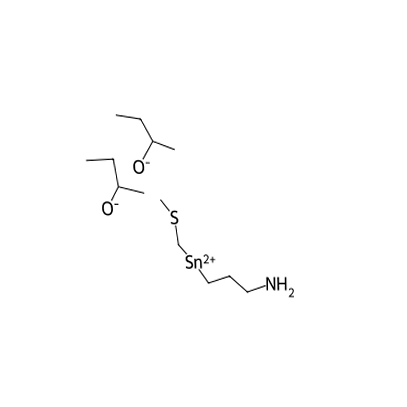 CCC(C)[O-].CCC(C)[O-].CS[CH2][Sn+2][CH2]CCN